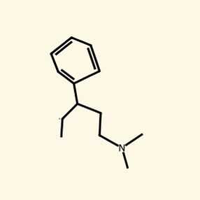 C[CH]C(CCN(C)C)c1ccccc1